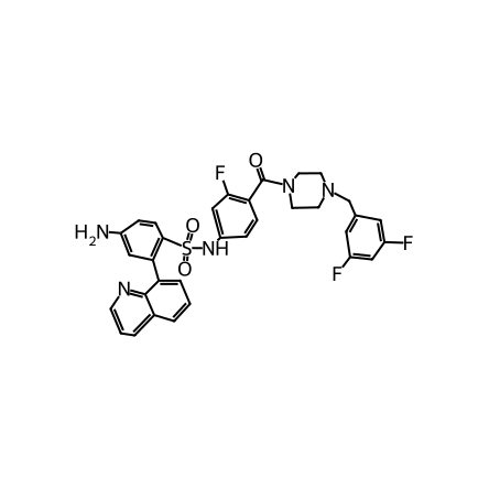 Nc1ccc(S(=O)(=O)Nc2ccc(C(=O)N3CCN(Cc4cc(F)cc(F)c4)CC3)c(F)c2)c(-c2cccc3cccnc23)c1